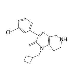 C=C1C(c2cccc(Cl)c2)=CC2=C(CCNC2)N1CC1CCC1